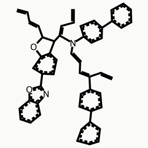 C=C/C=C(/C1c2ccc(-c3nc4ccccc4o3)cc2OC1/C=C/C=C)N(/C=C/C=C(\C=C)c1ccc(-c2ccccc2)cc1)c1ccc(-c2ccccc2)cc1